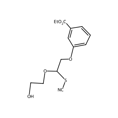 CCOC(=O)c1cccc(OCC(OCCO)SC#N)c1